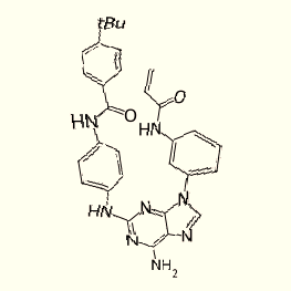 C=CC(=O)Nc1cccc(-n2cnc3c(N)nc(Nc4ccc(NC(=O)c5ccc(C(C)(C)C)cc5)cc4)nc32)c1